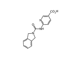 O=C(O)c1ccc(NC(=O)N2Cc3ccccc3C2)nc1